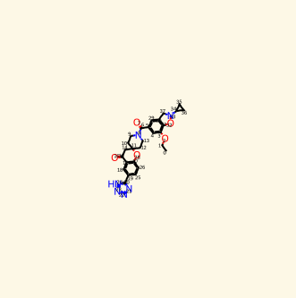 CCOc1cc(C(=O)N2CCC3(CC2)CC(=O)c2cc(-c4nnn[nH]4)ccc2O3)cc2c1ON(C1CC1)C2